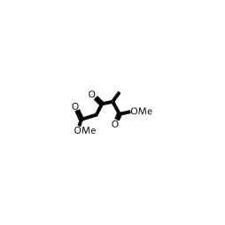 COC(=O)CC(=O)C(C)C(=O)OC